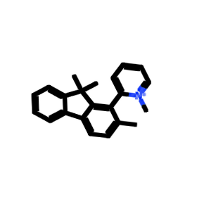 Cc1ccc2c(c1-c1cccc[n+]1C)C(C)(C)c1ccccc1-2